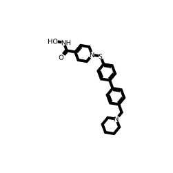 O=C(NO)C1=CCN(Sc2ccc(-c3ccc(CN4CCCCC4)cc3)cc2)CC1